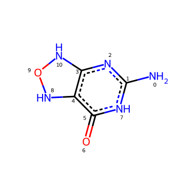 Nc1nc2c(c(=O)[nH]1)NON2